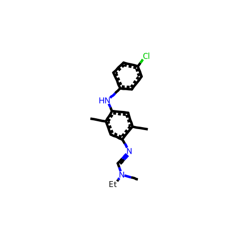 CCN(C)C=Nc1cc(C)c(Nc2ccc(Cl)cc2)cc1C